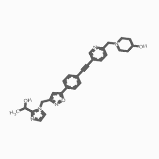 CC(O)c1nccn1Cc1cc(-c2ccc(C#Cc3ccc(CN4CCC(O)CC4)nc3)cc2)on1